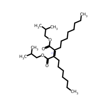 CCCCCCCC/C(C(=O)OCC(C)C)=C(\CCCCCCC)C(=O)OCC(C)C